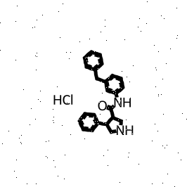 Cl.O=C(Nc1cccc(Cc2ccccc2)c1)C1CNCC1c1ccccc1